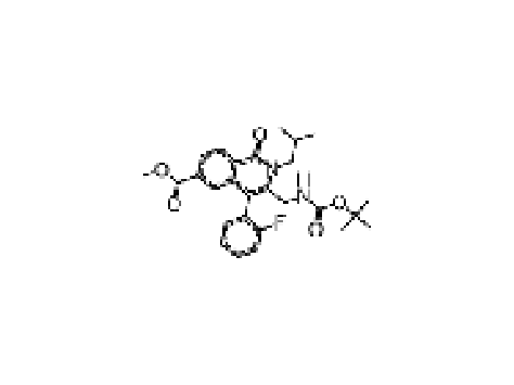 COC(=O)c1ccc2c(=O)n(CC(C)C)c(CNC(=O)OC(C)(C)C)c(-c3ccccc3F)c2c1